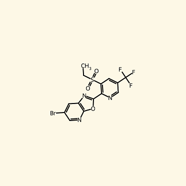 CCS(=O)(=O)c1cc(C(F)(F)F)cnc1-c1nc2cc(Br)cnc2o1